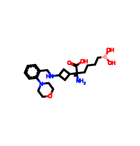 N[C@](CCCCB(O)O)(C(=O)O)C1CC(NCc2ccccc2N2CCOCC2)C1